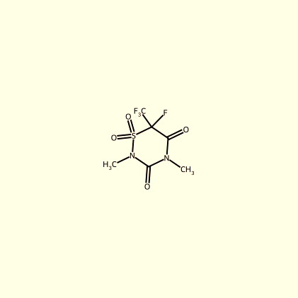 CN1C(=O)N(C)S(=O)(=O)C(F)(C(F)(F)F)C1=O